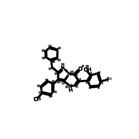 O=c1c(-c2ccc(F)cc2O)c[nH]c2c(-c3ccc(Cl)cc3)c(Cc3ccccc3)nn12